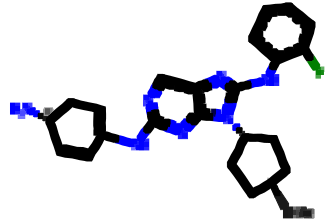 CC(=O)N[C@H]1CC[C@H](n2c(Nc3ccccc3F)nc3cnc(NC4=CC[C@@H](N)C=C4)nc32)CC1